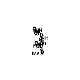 COOSCCCn1c(=O)c(-c2cccc(F)c2Cl)cn(CC(=O)Nc2ccc3c(c2)CC(C(=O)Nc2ccccn2)C3)c1=O